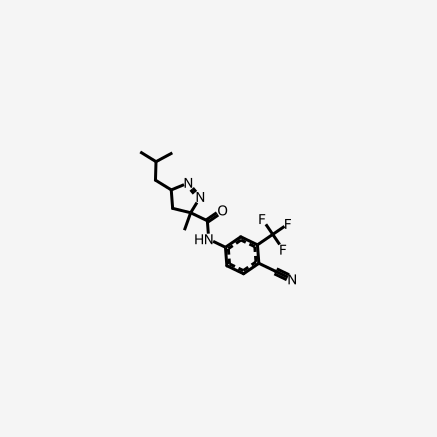 CC(C)CC1CC(C)(C(=O)Nc2ccc(C#N)c(C(F)(F)F)c2)N=N1